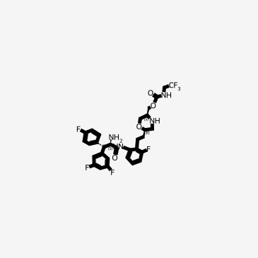 N[C@H](C(=O)Nc1cccc(F)c1CC[C@@H]1CN[C@H](COC(=O)NCC(F)(F)F)CO1)[C@@H](c1ccc(F)cc1)c1cc(F)cc(F)c1